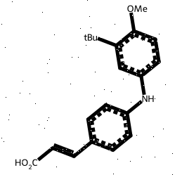 COc1ccc(Nc2ccc(C=CC(=O)O)cc2)cc1C(C)(C)C